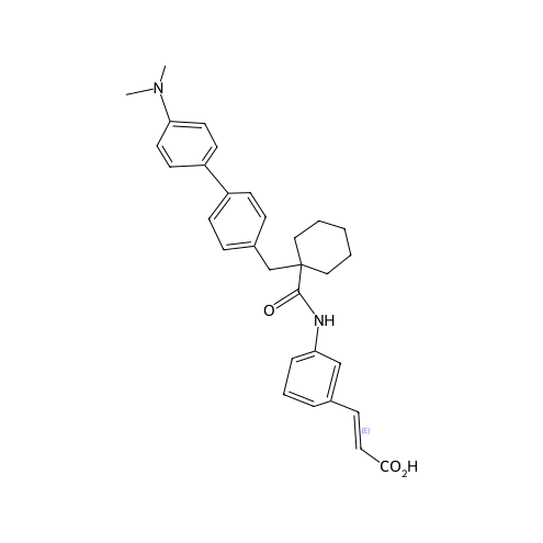 CN(C)c1ccc(-c2ccc(CC3(C(=O)Nc4cccc(/C=C/C(=O)O)c4)CCCCC3)cc2)cc1